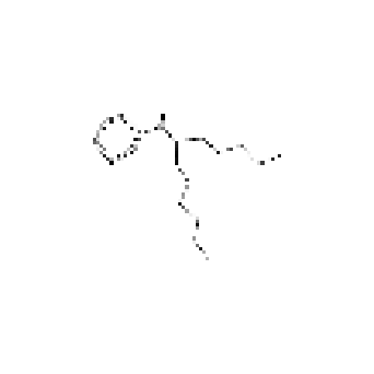 CCCCCCC(Bc1ccccc1)CCCCC